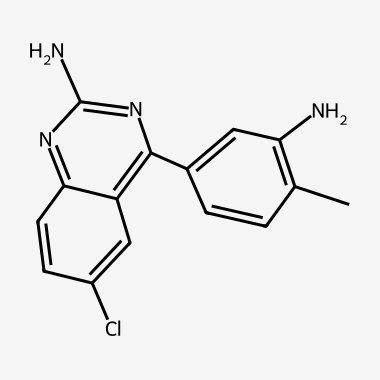 Cc1ccc(-c2nc(N)nc3ccc(Cl)cc23)cc1N